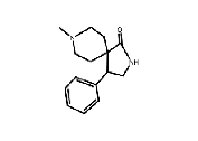 CN1CCC2(CC1)C(=O)NCC2c1ccccc1